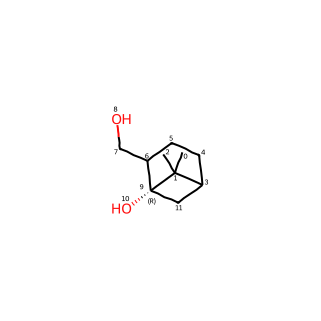 CC1(C)C2CCC(CO)[C@]1(O)C2